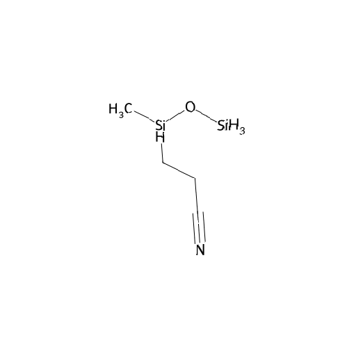 C[SiH](CCC#N)O[SiH3]